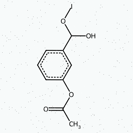 CC(=O)Oc1cccc(C(O)OI)c1